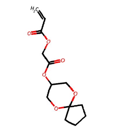 C=CC(=O)OCC(=O)OC1COC2(CCCC2)OC1